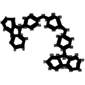 c1ccc2c(c1)c1ccncc1n2-c1ccc(Cc2ccc(Cc3ccc(-n4c5ccccc5c5ccncc54)cc3)cc2)cc1